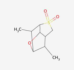 CC1C2CS(=O)(=O)C3C(C)C1OC23